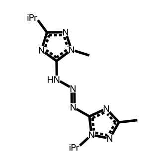 Cc1nc(N=NNc2nc(C(C)C)nn2C)n(C(C)C)n1